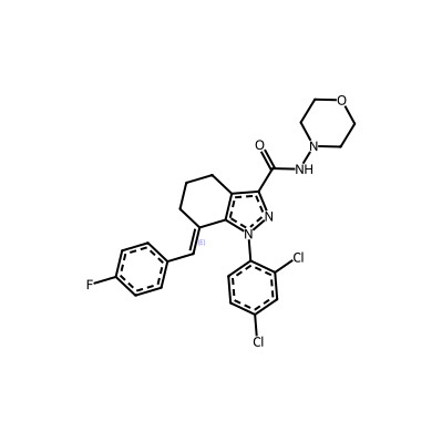 O=C(NN1CCOCC1)c1nn(-c2ccc(Cl)cc2Cl)c2c1CCC/C2=C\c1ccc(F)cc1